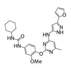 COc1cc(NC(=O)NC2CCCCC2)ccc1Oc1nc(C)cc(Nc2cc(-c3ccco3)n[nH]2)n1